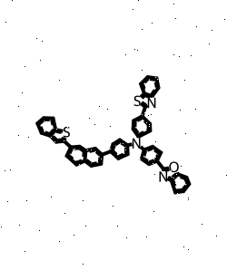 c1ccc2sc(-c3ccc4ccc(-c5ccc(N(c6ccc(-c7nc8ccccc8o7)cc6)c6ccc(-c7nc8ccccc8s7)cc6)cc5)cc4c3)cc2c1